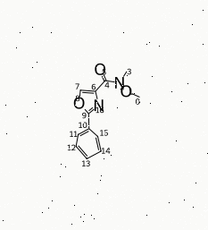 CON(C)C(=O)c1coc(-c2ccccc2)n1